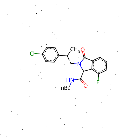 CCCCNC(=O)C1c2c(F)cccc2C(=O)N1CC(C)c1ccc(Cl)cc1